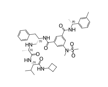 Cc1cccc([C@@H](C)NC(=O)c2cc(C(=O)N[C@H](CN[C@@H](C)C(=O)N[C@H](C(=O)NC3CCC3)C(C)C)Cc3ccccc3)cc(N(C)S(C)(=O)=O)c2)c1